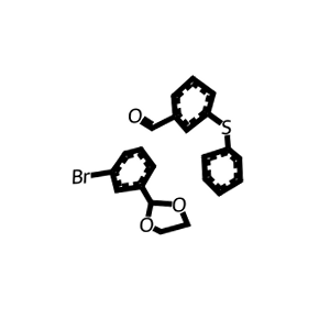 Brc1cccc(C2OCCO2)c1.O=Cc1cccc(Sc2ccccc2)c1